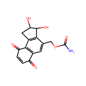 NC(=O)OCc1cc2c(c3c1C(O)C(O)C3)C(=O)C=CC2=O